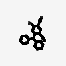 N#Cc1cc(C#N)c(N(c2ccccc2)c2ccccc2)cc1Br